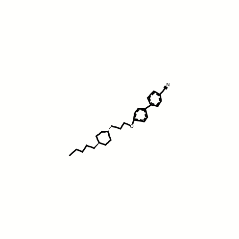 CCCCC[C@H]1CC[C@H](CCCOc2ccc(-c3ccc(C#N)cc3)cc2)CC1